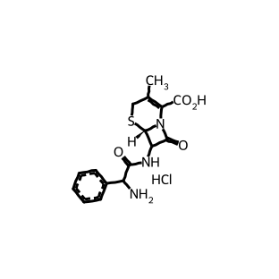 CC1=C(C(=O)O)N2C(=O)C(NC(=O)C(N)c3ccccc3)[C@@H]2SC1.Cl